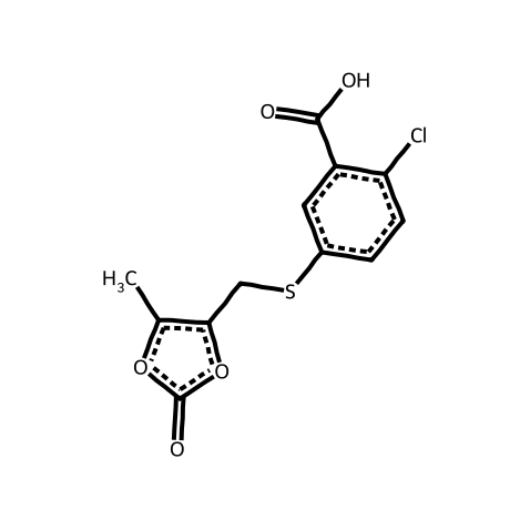 Cc1oc(=O)oc1CSc1ccc(Cl)c(C(=O)O)c1